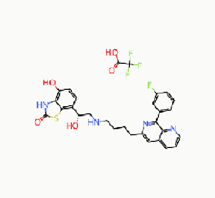 O=C(O)C(F)(F)F.O=c1[nH]c2c(O)ccc([C@@H](O)CNCCCCc3cc4cccnc4c(-c4cccc(F)c4)n3)c2s1